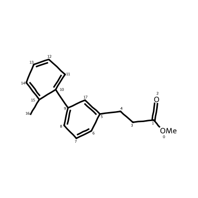 COC(=O)CCc1cccc(-c2ccccc2C)c1